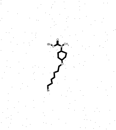 CN(C(=O)OC(C)(C)C)C1CCC(OCCCCCCCBr)CC1